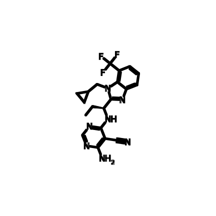 CC[C@H](Nc1ncnc(N)c1C#N)c1nc2cccc(C(F)(F)F)c2n1CC1CC1